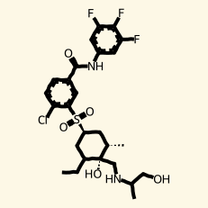 CCC1C[C@@H](S(=O)(=O)c2cc(C(=O)Nc3cc(F)c(F)c(F)c3)ccc2Cl)C[C@H](C)[C@@]1(O)CNC(C)CO